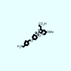 COc1cnc2c(c1)c(CCC(=O)O)nn2S(=O)(=O)c1ccc(OCc2ccc(CN)cc2)cc1